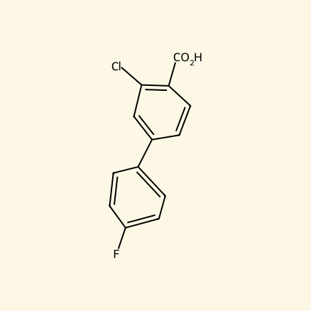 O=C(O)c1ccc(-c2ccc(F)cc2)cc1Cl